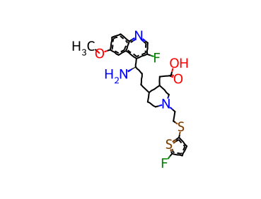 COc1ccc2ncc(F)c([C@H](N)CCC3CCN(CCSc4ccc(F)s4)CC3CC(=O)O)c2c1